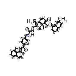 Cc1ccc2cccc(OCc3c(Cl)ccc(N(C)C(=O)CNC(=O)/C=C/c4ccc(C(=O)Nc5nccc6ccccc56)nc4)c3Cl)c2n1